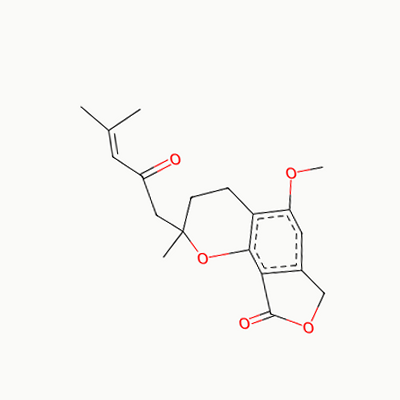 COc1cc2c(c3c1CCC(C)(CC(=O)C=C(C)C)O3)C(=O)OC2